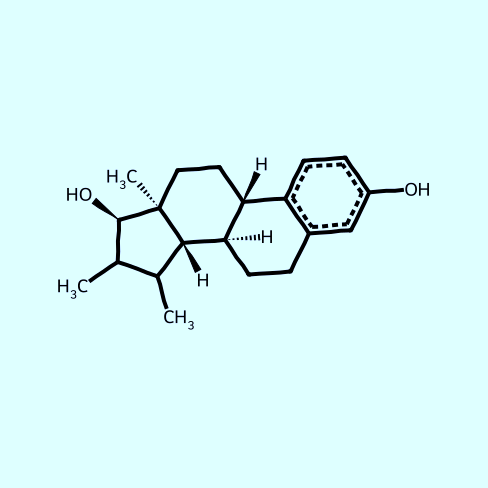 CC1C(C)[C@H]2[C@@H]3CCc4cc(O)ccc4[C@H]3CC[C@]2(C)[C@@H]1O